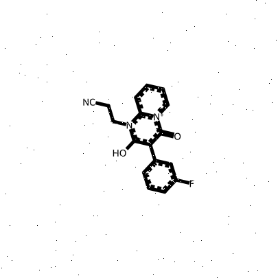 N#CCCn1c(O)c(-c2cccc(F)c2)c(=O)[n+]2ccccc12